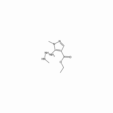 CCOC(=O)c1cnn(C)c1N.CNN